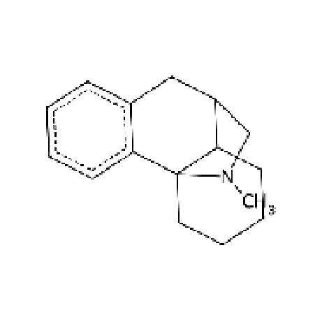 CN1CC2Cc3ccccc3C13CCCCC23